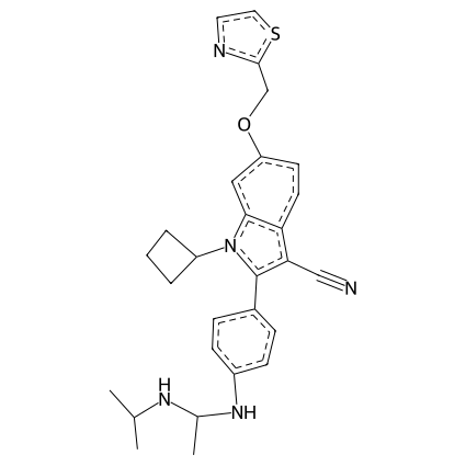 CC(C)NC(C)Nc1ccc(-c2c(C#N)c3ccc(OCc4nccs4)cc3n2C2CCC2)cc1